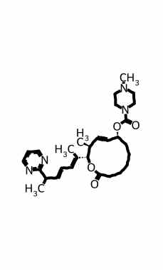 C/C(=C\C=C\C(C)c1ncccn1)[C@H]1OC(=O)CCCCC[C@@H](OC(=O)N2CCN(C)CC2)/C=C/[C@@H]1C